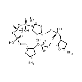 B[C@H]1CC(O)[C@@H](COP(=O)(O)OC2C[C@H](B)O[C@@H]2COP(=O)(O)OC2C[C@H](B)O[C@@H]2COP(=O)(O)OP(=O)(O)OP(=O)(O)O)O1